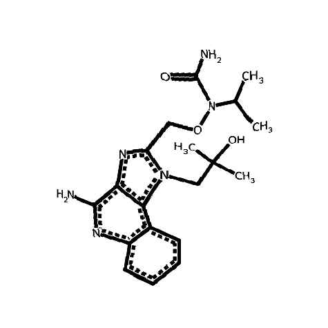 CC(C)N(OCc1nc2c(N)nc3ccccc3c2n1CC(C)(C)O)C(N)=O